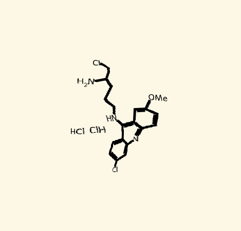 COc1ccc2nc3cc(Cl)ccc3c(NCCCC(N)CCl)c2c1.Cl.Cl